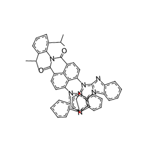 CC(C)c1cccc(C(C)C)c1N1C(=O)c2ccc(-n3c4ccccc4n4c5ccccc5nc34)c3c(-n4c5ccccc5n5c6ccccc6n4C5)ccc(c23)C1=O